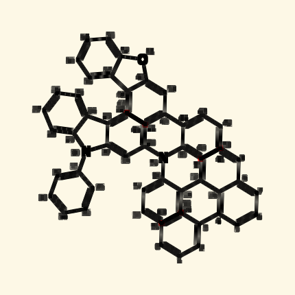 c1ccc(-c2cccc3cccc(-c4ccccc4N(c4ccc5c6ccccc6n(-c6ccccc6)c5c4)c4ccccc4-c4ccc5c(c4)oc4ccccc45)c23)cc1